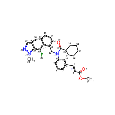 COC(=O)/C=C/c1cccc(N(Cc2cccc3cc4cnn(C)c4c(F)c23)C(=O)C2CCCCC2)c1